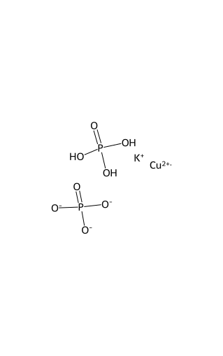 O=P(O)(O)O.O=P([O-])([O-])[O-].[Cu+2].[K+]